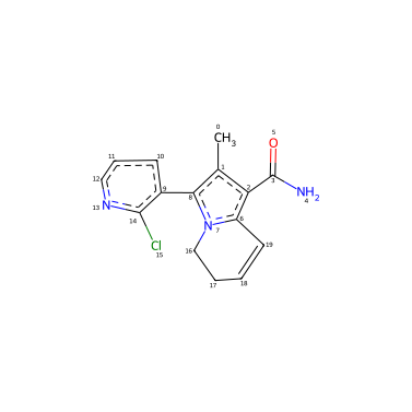 Cc1c(C(N)=O)c2n(c1-c1cccnc1Cl)CCC=C2